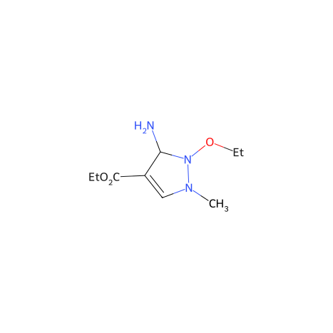 CCOC(=O)C1=CN(C)N(OCC)C1N